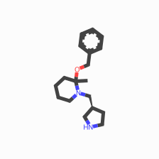 CC1(OCc2ccccc2)CCCCN1C[C@H]1CCNC1